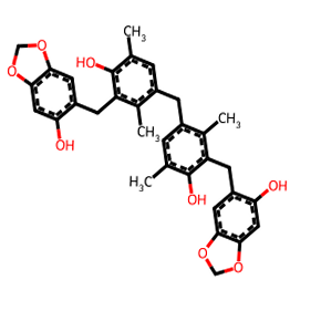 Cc1cc(Cc2cc(C)c(O)c(Cc3cc4c(cc3O)OCO4)c2C)c(C)c(Cc2cc3c(cc2O)OCO3)c1O